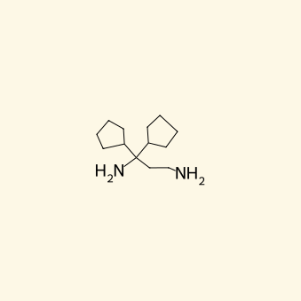 NCCC(N)(C1CCCC1)C1CCCC1